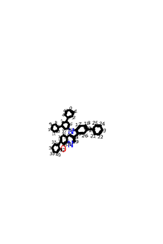 c1ccc(-c2cc(-c3ccccc3)cc(-n3c4ccc(-c5ccccc5)cc4c4cnc5c(ccc6c7ccccc7oc65)c43)c2)cc1